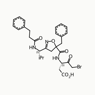 CC(C)[C@H](NC(=O)CCc1ccccc1)C1=NOC(Cc2ccccc2)(C(=O)N[C@@H](CC(=O)O)C(=O)CBr)C1